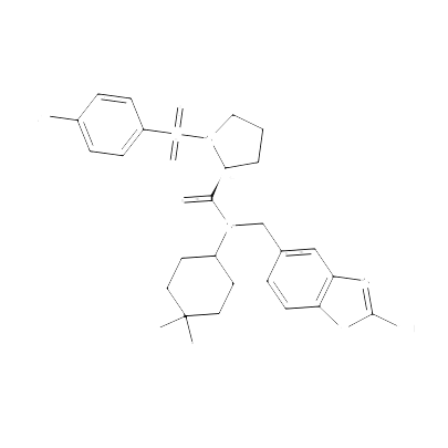 Cc1ccc(S(=O)(=O)N2CCC[C@H]2C(=O)N(Cc2ccc3sc(C)nc3c2)C2CCC(F)(F)CC2)cc1